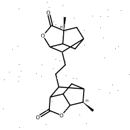 C[C@@H]1C2CC3C(C(=O)OC31)C2CCC1C2CC3C1OC(=O)[C@]3(C)C2